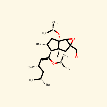 CCCC[C@H](C)C[C@@H](C=C(O[SiH](C)C)[C@H]1[C@H](C(C)(C)C)C[C@@]2(O[SiH](C)C)C3OC3(CO)C[C@@H]12)C(C)(C)C